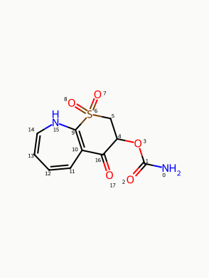 NC(=O)OC1CS(=O)(=O)C2=C(C=CC=CN2)C1=O